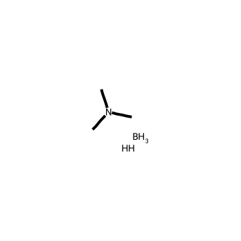 B.CN(C)C.[HH]